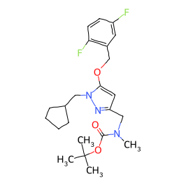 CN(Cc1cc(OCc2cc(F)ccc2F)n(CC2CCCC2)n1)C(=O)OC(C)(C)C